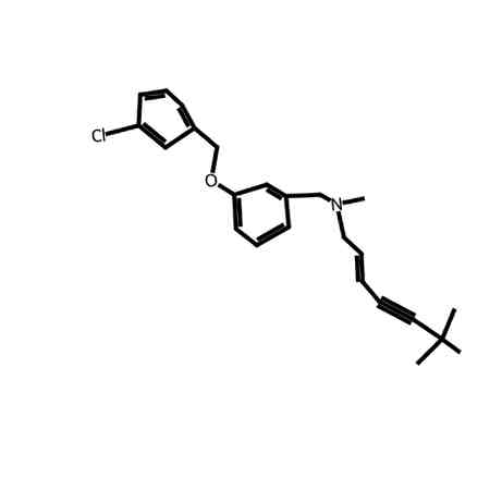 CN(CC=CC#CC(C)(C)C)Cc1cccc(OCc2cccc(Cl)c2)c1